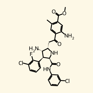 COC(=O)c1cc(N)c(C(=O)C[C@@H]2N[C@@H](C(=O)Nc3cccc(Cl)c3)[C@@H](c3cccc(Cl)c3F)[C@@H]2N)cc1C